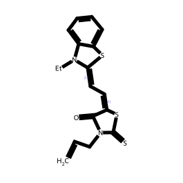 C=CCN1C(=O)/C(=C\C=C2/Sc3ccccc3N2CC)SC1=S